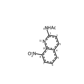 CC(=O)Nc1ccc2cccc([N+](=O)[O-])c2n1